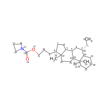 CC[C@H]1CC2C3CCC(CCCOC(=O)N4CCC4)C3(C)CC[C@@H]2C2(C)CCCCC12